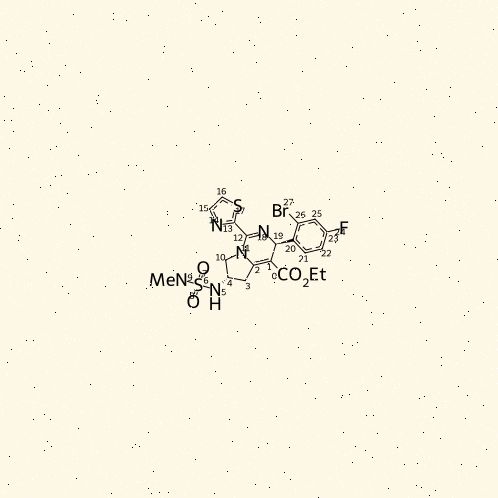 CCOC(=O)C1=C2C[C@H](NS(=O)(=O)NC)CN2C(c2nccs2)=N[C@H]1c1ccc(F)cc1Br